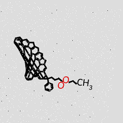 CCCCOC(=O)CCCC1(c2ccccc2)C2C3=CC4Cc5cc6c7c8c5C4c4c3c3c5c9c(cc%10cc%11c%12c(c7c7c8c4c3c3c9c%10c%12c73)=C(C%11)C6)=CC521